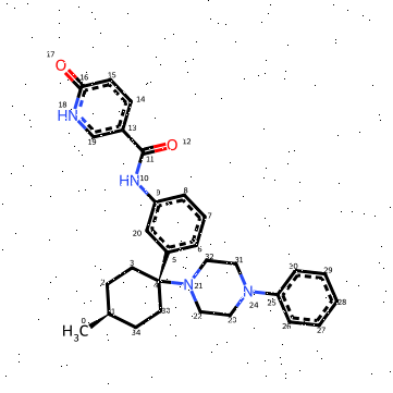 C[C@H]1CC[C@](c2cccc(NC(=O)c3ccc(=O)[nH]c3)c2)(N2CCN(c3ccccc3)CC2)CC1